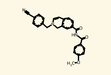 COc1ccc(C(=O)NC(=O)c2ccc3c(c2)CN(Cc2ccc(C#N)cc2)C=C3)cc1